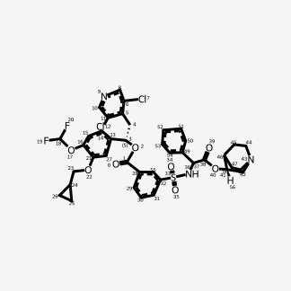 O=C(O[C@@H](Cc1c(Cl)cncc1Cl)c1ccc(OC(F)F)c(OCC2CC2)c1)c1cccc(S(=O)(=O)NC(C(=O)O[C@H]2CN3CCC2CC3)c2ccccc2)c1